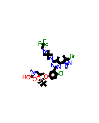 Cc1c(-c2c(C)c(Br)nn2C)nc(-c2cc(OCC(CN(C)C(=O)O)O[Si](C)(C)C(C)(C)C)ccc2Cl)nc1N1CC2(CN(CC(F)(F)F)C2)C1